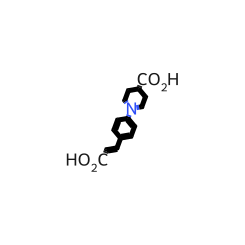 O=C(O)C=Cc1ccc(N2CCC(C(=O)O)CC2)cc1